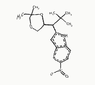 CC1(C)OCC(C(c2cc3cc([N+](=O)[O-])ccc3[nH]2)C(C)(C)C)O1